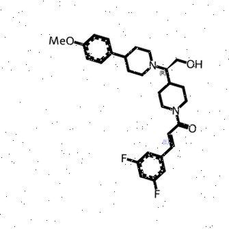 COc1ccc(C2CCN([C@@H](CO)C3CCN(C(=O)/C=C/c4cc(F)cc(F)c4)CC3)CC2)cc1